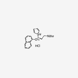 CNCC[C@@H](Oc1cccc2ccccc12)[SH]1C=CC=C1.Cl